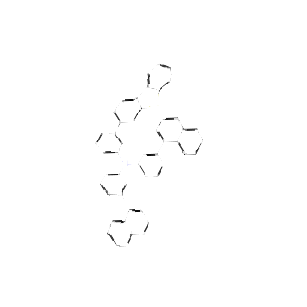 c1cc(-c2ccc3c(c2)sc2ccccc23)cc(N(c2cccc(-c3cccc4ccccc34)c2)c2cccc(-c3cccc4ccccc34)c2)c1